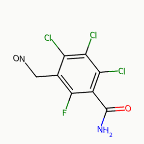 NC(=O)c1c(F)c(CN=O)c(Cl)c(Cl)c1Cl